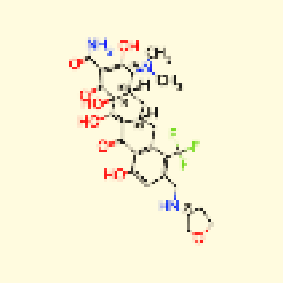 CN(C)[C@@H]1C(O)=C(C(N)=O)C(=O)[C@@]2(O)C(O)=C3C(=O)c4c(O)cc(CN[C@@H]5CCOC5)c(C(F)(F)F)c4C[C@H]3C[C@@H]12